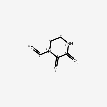 O=[C]N1CCNC(=O)C1=O